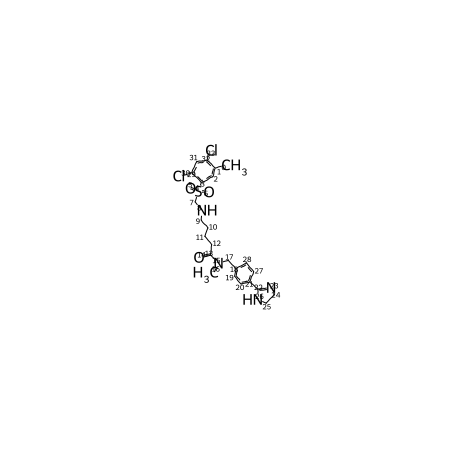 Cc1cc(S(=O)(=O)CNCCCCC(=O)N(C)Cc2ccc(C3=NCCN3)cc2)c(Cl)cc1Cl